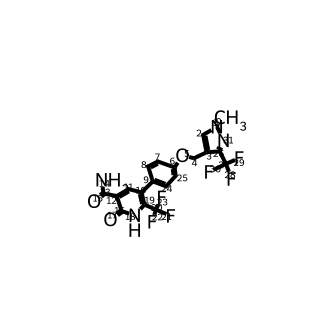 Cn1cc(COc2ccc(-c3cc(C(N)=O)c(=O)[nH]c3C(F)(F)F)cc2)c(C(F)(F)F)n1